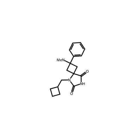 CNC1(c2ccccc2)CC2(C1)C(=O)NC(=O)N2CC1CCC1